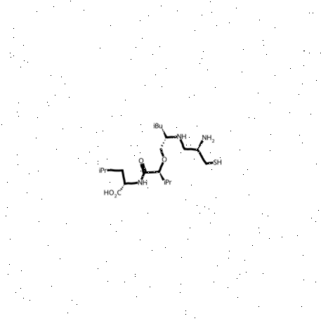 CC[C@H](C)[C@@H](CO[C@H](C(=O)N[C@@H](CC(C)C)C(=O)O)C(C)C)NC[C@@H](N)CS